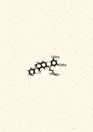 COc1cc(OC)cc(N(CCNC(C)C)c2ccc3ncn(-c4cccnc4)c(=O)c3c2)c1